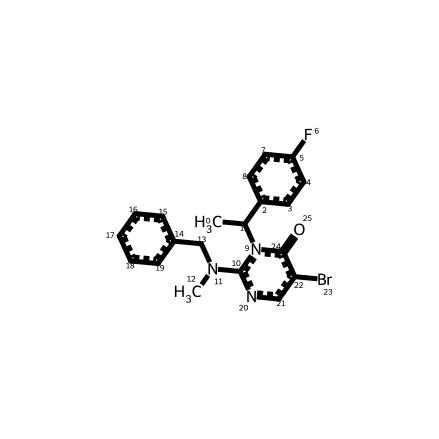 CC(c1ccc(F)cc1)n1c(N(C)Cc2ccccc2)ncc(Br)c1=O